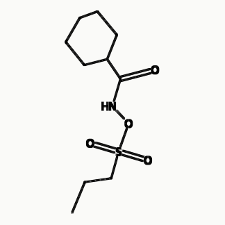 CCCS(=O)(=O)ONC(=O)C1CCCCC1